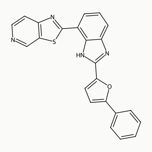 c1ccc(-c2ccc(-c3nc4cccc(-c5nc6ccncc6s5)c4[nH]3)o2)cc1